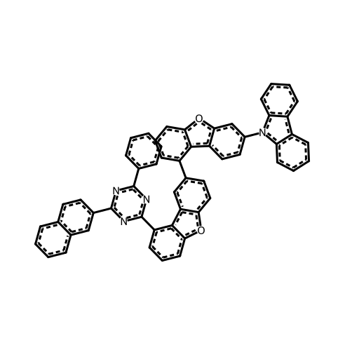 c1ccc(-c2nc(-c3ccc4ccccc4c3)nc(-c3cccc4oc5ccc(-c6cccc7oc8cc(-n9c%10ccccc%10c%10ccccc%109)ccc8c67)cc5c34)n2)cc1